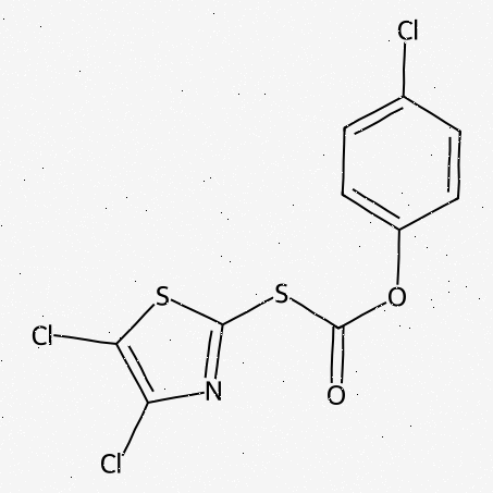 O=C(Oc1ccc(Cl)cc1)Sc1nc(Cl)c(Cl)s1